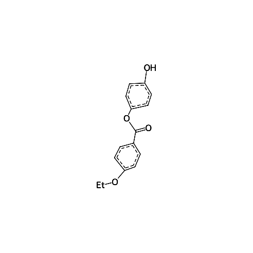 CCOc1ccc(C(=O)Oc2ccc(O)cc2)cc1